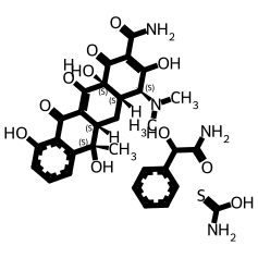 CN(C)[C@@H]1C(O)=C(C(N)=O)C(=O)[C@@]2(O)C(O)=C3C(=O)c4c(O)cccc4[C@@](C)(O)[C@H]3C[C@@H]12.NC(=O)C(O)c1ccccc1.NC(O)=S